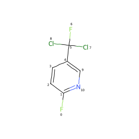 Fc1ccc(C(F)(Cl)Cl)cn1